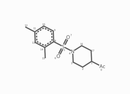 CC(=O)C1CCN(S(=O)(=O)c2ccc(C)cc2C)CC1